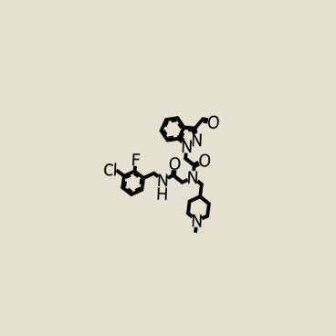 CN1CCC(CN(CC(=O)NCc2cccc(Cl)c2F)C(=O)Cn2nc(C=O)c3ccccc32)CC1